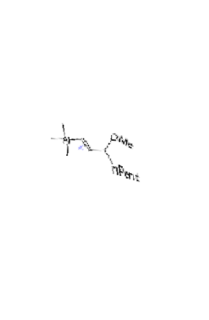 CCCCCC(/C=[CH]/[Al-]([CH3])([CH3])[CH3])OC